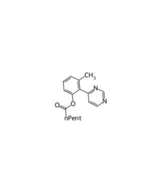 CCCCCC(=O)Oc1cccc(C)c1-c1ccncn1